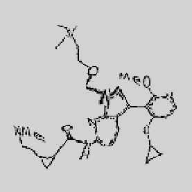 CNCC1CC1C(=O)Nc1ccc2c(-c3c(OC4CC4)ccnc3OC)cn(COCC[Si](C)(C)C)c2n1